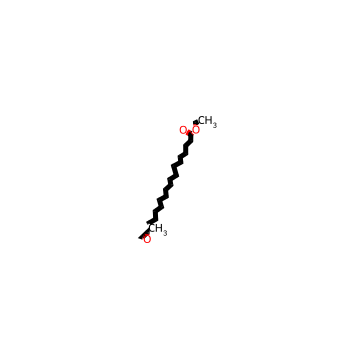 C1CO1.CCCCCCCCCCCCCCCCCC(=O)OCC